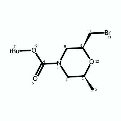 C[C@H]1CN(C(=O)OC(C)(C)C)C[C@@H](CBr)O1